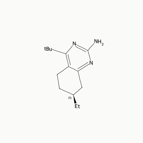 CC[C@H]1CCc2c(nc(N)nc2C(C)(C)C)C1